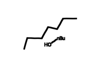 CCCCCCC.CCCCO